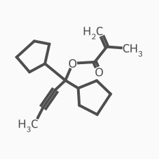 C=C(C)C(=O)OC(C#CC)(C1CCCC1)C1CCCC1